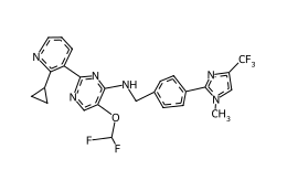 Cn1cc(C(F)(F)F)nc1-c1ccc(CNc2nc(-c3cccnc3C3CC3)ncc2OC(F)F)cc1